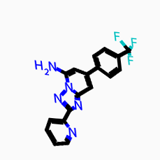 Nc1cc(-c2ccc(C(F)(F)F)cc2)cc2nc(-c3ccccn3)nn12